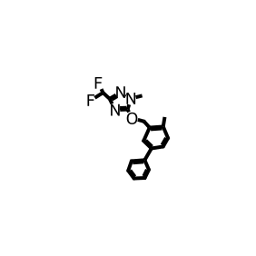 Cc1ccc(-c2ccccc2)cc1COc1nc(C(F)F)nn1C